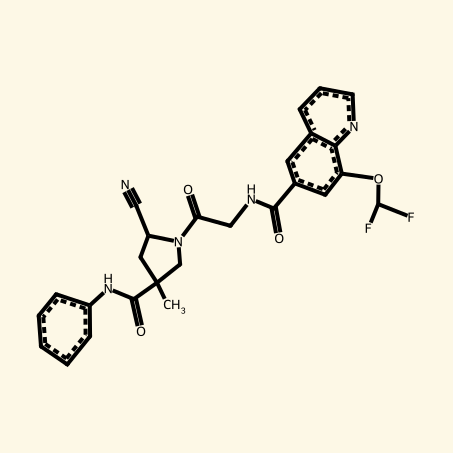 CC1(C(=O)Nc2ccccc2)CC(C#N)N(C(=O)CNC(=O)c2cc(OC(F)F)c3ncccc3c2)C1